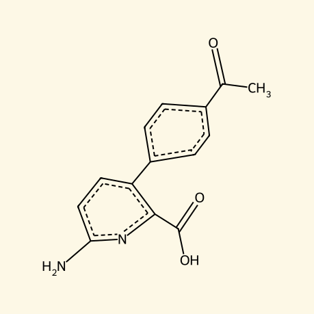 CC(=O)c1ccc(-c2ccc(N)nc2C(=O)O)cc1